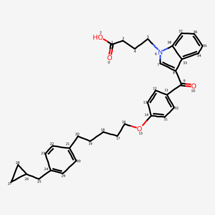 O=C(O)CCCn1cc(C(=O)c2ccc(OCCCCCc3ccc(CC4CC4)cc3)cc2)c2ccccc21